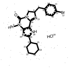 CCCN1C(=O)N2CC(Cc3ccc(Br)cc3)N=C2c2[nH]c(C3CCCCC3)nc21.Cl